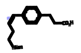 CCCCCCCCCCC/C=C\c1ccc(CCC(=O)O)cc1